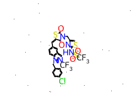 O=C1SC(=Cc2ccc3c(cnn3Cc3ccc(Cl)cc3C(F)(F)F)c2)C(=O)N1Cc1csc(NS(=O)(=O)C(F)(F)F)n1